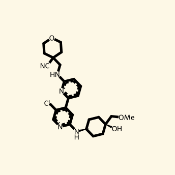 COC[C@]1(O)CC[C@@H](Nc2cc(-c3cccc(NCC4(C#N)CCOCC4)n3)c(Cl)cn2)CC1